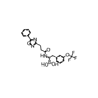 O=C(CCc1noc(-c2ccccc2)n1)N[C@@H](Cc1cccc(OC(F)(F)F)c1)B(O)O